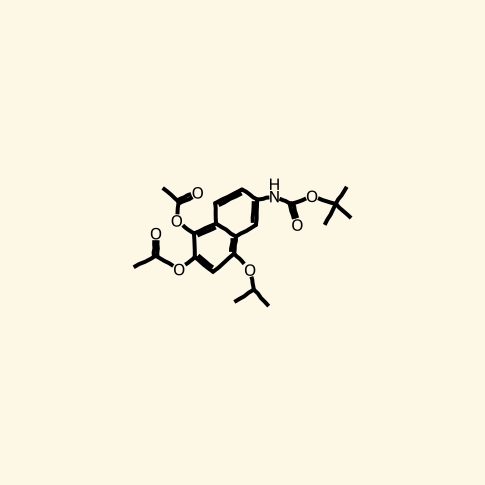 CC(=O)Oc1cc(OC(C)C)c2cc(NC(=O)OC(C)(C)C)ccc2c1OC(C)=O